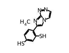 C.Sc1ccc(-c2cn3ccnnc3n2)c(S)c1